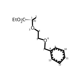 CCOC(=O)[C@H](C)OCCOCc1ccccc1